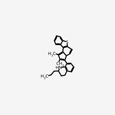 CCCC1CCc2cccc(C3=C(C)C(C)=C4c5c(sc6ccccc56)C=CC34)c2N1